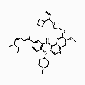 C=CC(=C1CCC1)N1CC(Oc2cc3c(Nc4cc(/C(C)=C/C=C\C(C)CC)ccc4OC4CCN(C)CC4)ncnc3cc2OC)C1